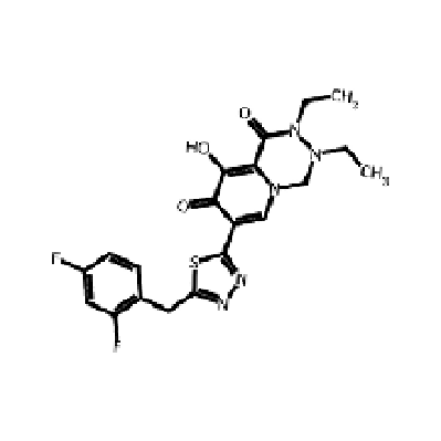 CCN1Cn2cc(-c3nnc(Cc4ccc(F)cc4F)s3)c(=O)c(O)c2C(=O)N1CC